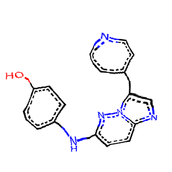 Oc1ccc(Nc2ccc3ncc(-c4ccncc4)n3n2)cc1